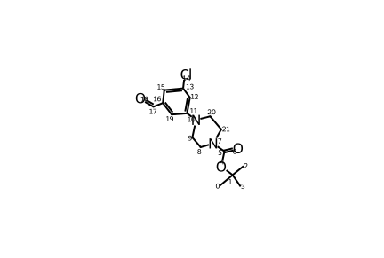 CC(C)(C)OC(=O)N1CCN(c2cc(Cl)cc(C=O)c2)CC1